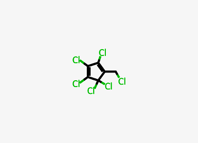 ClCC1=C(Cl)C(Cl)=C(Cl)C1(Cl)Cl